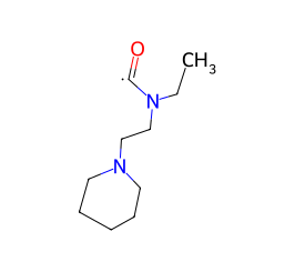 CCN([C]=O)CCN1CCCCC1